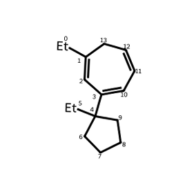 CCC1=CC(C2(CC)CCCC2)=CC=CC1